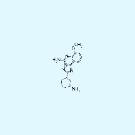 COc1cccc2c1nc(N)n1nc(C3CCCC(N)C3)nc21